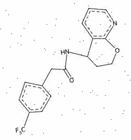 O=C(Cc1ccc(C(F)(F)F)cc1)NC1CCOc2ncccc21